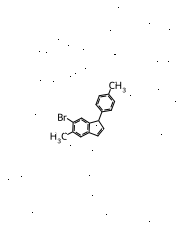 Cc1ccc(C2C=Cc3cc(C)c(Br)cc32)cc1